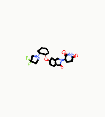 O=C1CCC(N2Cc3cc(O[C@H]4CCCC[C@H]4N4CCC(F)(F)C4)ccc3C2=O)C(=O)N1